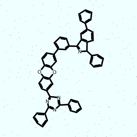 c1ccc(-c2ccc3c(c2)C(c2cccc(-c4ccc5c(c4)Oc4cc(-c6nc(-c7ccccc7)nc(-c7ccccc7)n6)ccc4O5)c2)=NC3c2ccccc2)cc1